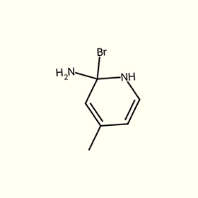 CC1=CC(N)(Br)NC=C1